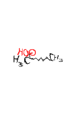 CCCCCCCC=C(C)C(=O)O